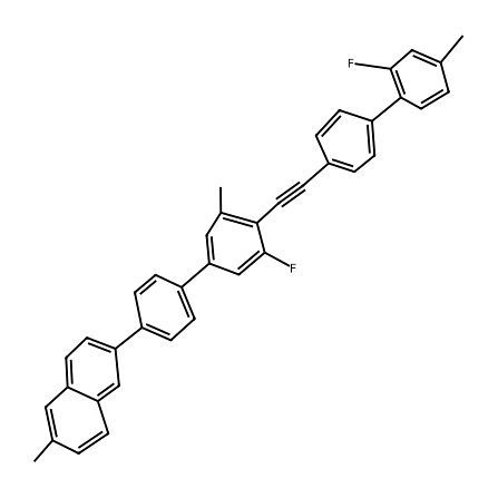 Cc1ccc(-c2ccc(C#Cc3c(C)cc(-c4ccc(-c5ccc6cc(C)ccc6c5)cc4)cc3F)cc2)c(F)c1